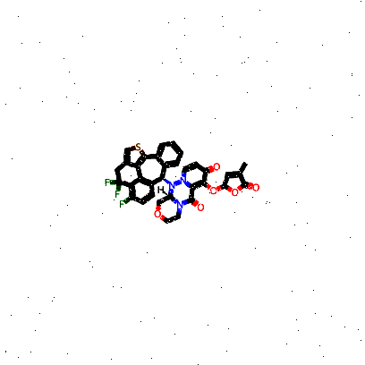 CC1=CC(Oc2c3n(ccc2=O)N([C@@H]2c4ccccc4-c4scc5c4-c4c2ccc(F)c4C(F)(F)C5)[C@@H]2COCCN2C3=O)OC1=O